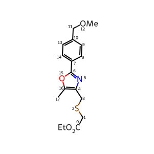 CCOC(=O)CSCc1nc(-c2ccc(COC)cc2)oc1C